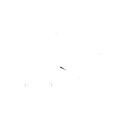 COC1CO[C@@]2(CCN(C(=O)O)[C@@H](C)C2)c2sc(Cl)cc21